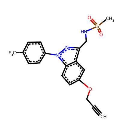 C#CCOc1ccc2c(c1)c(CNS(C)(=O)=O)nn2-c1ccc(C(F)(F)F)cc1